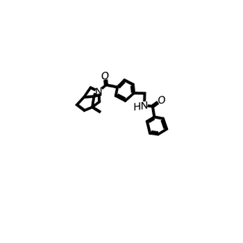 CC12CCC(CN(C(=O)c3ccc(CNC(=O)c4ccccc4)cc3)C1)C2(C)C